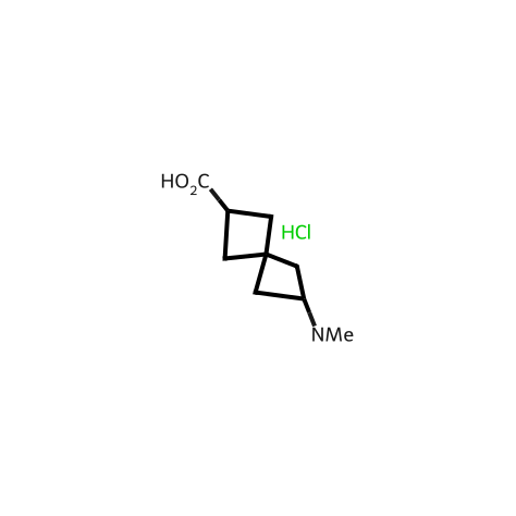 CNC1CC2(C1)CC(C(=O)O)C2.Cl